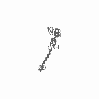 CC(C)OC(=O)N1CCOc2ncc(-c3ccc4nc(NC(=O)CCCCCCCCCCC(=O)OC(C)(C)C)cn4n3)cc21